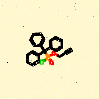 C#CCOP(=O)(Cl)C(c1ccccc1)(c1ccccc1)c1ccccc1